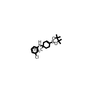 CCOC(=O)C1(Nc2cccc(Cl)c2)CC=C(B2OC(C)(C)C(C)(C)O2)CC1